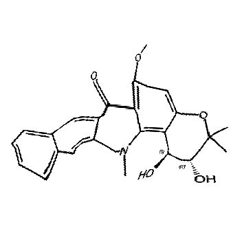 COc1cc2c(c3c1c(=O)c1cc4ccccc4cc1n3C)[C@H](O)[C@@H](O)C(C)(C)O2